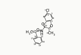 CC(Oc1ccc(Cl)cc1)C(=O)NOC(C)c1ccccc1